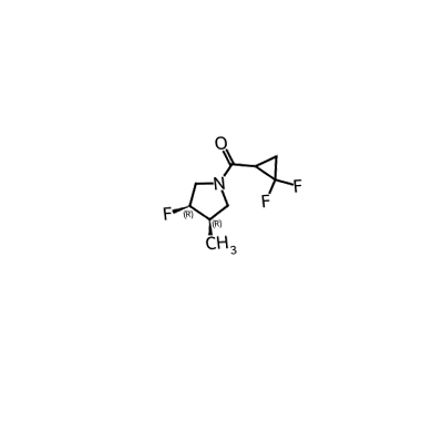 C[C@@H]1CN(C(=O)C2CC2(F)F)C[C@@H]1F